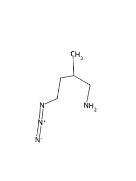 CC(CN)CCN=[N+]=[N-]